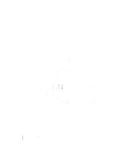 COc1ccc(S(=O)(=O)Nc2cc(C)ccc2C(=O)OCc2ccccc2)c(Cc2ccccc2)c1